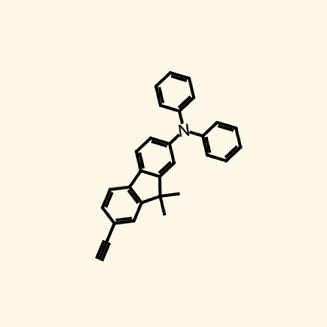 C#Cc1ccc2c(c1)C(C)(C)c1cc(N(c3ccccc3)c3ccccc3)ccc1-2